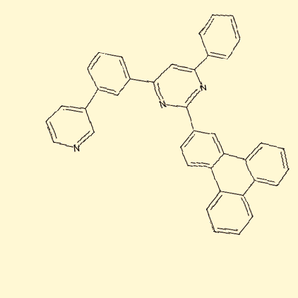 c1ccc(-c2cc(-c3cccc(-c4cccnc4)c3)nc(-c3ccc4c5ccccc5c5ccccc5c4c3)n2)cc1